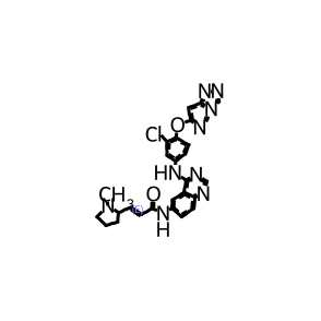 CN1CCCC1/C=C/C(=O)Nc1ccc2ncnc(Nc3ccc(Oc4cc5nncn5cn4)c(Cl)c3)c2c1